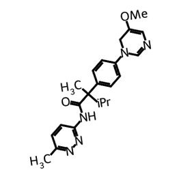 COC1=CN=CN(c2ccc(C(C)(C(=O)Nc3ccc(C)nn3)C(C)C)cc2)C1